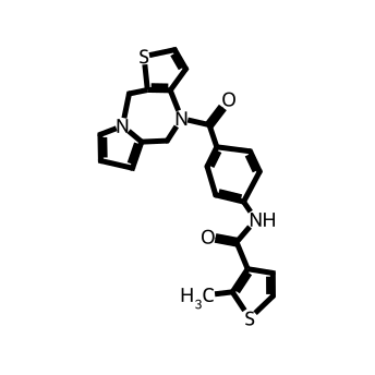 Cc1sccc1C(=O)Nc1ccc(C(=O)N2Cc3cccn3Cc3sccc32)cc1